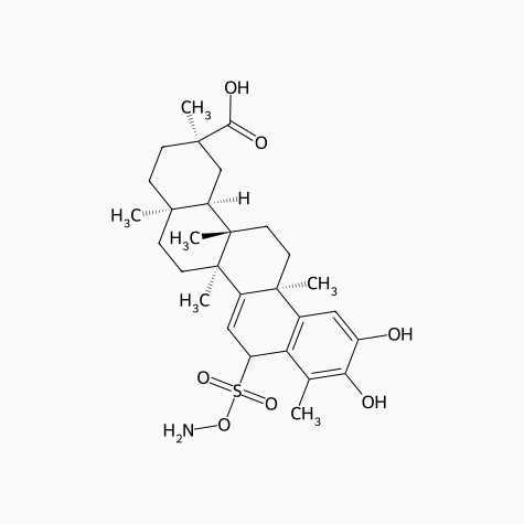 Cc1c(O)c(O)cc2c1C(S(=O)(=O)ON)C=C1[C@@]2(C)CC[C@@]2(C)[C@@H]3C[C@](C)(C(=O)O)CC[C@]3(C)CC[C@]12C